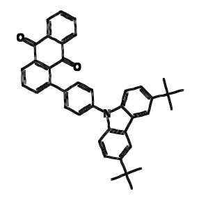 CC(C)(C)c1ccc2c(c1)c1cc(C(C)(C)C)ccc1n2-c1ccc(-c2cccc3c2C(=O)c2ccccc2C3=O)cc1